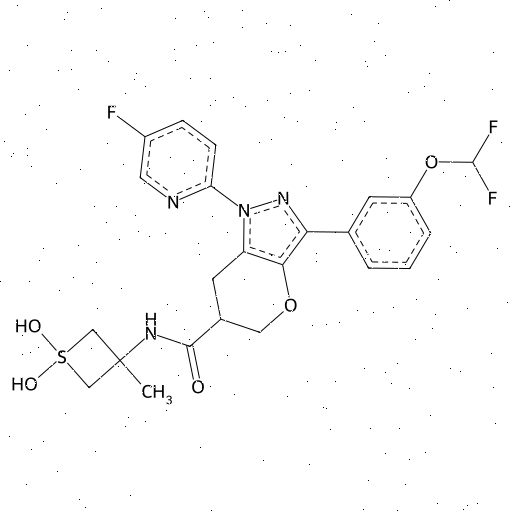 CC1(NC(=O)C2COc3c(-c4cccc(OC(F)F)c4)nn(-c4ccc(F)cn4)c3C2)CS(O)(O)C1